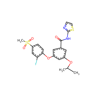 CC(C)Oc1cc(Oc2ccc(S(C)(=O)=O)cc2F)cc(C(=O)Nc2nccs2)c1